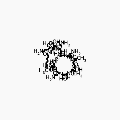 CCCCCCCC(=O)N[C@@H](CCN)C(=O)N[C@H](C(=O)N[C@H](CCN)C(=O)N[C@H]1CCNC(=O)[C@H]([C@@H](C)O)NC(=O)[C@H](CCN)NC(=O)[C@H](CO)NC(=O)[C@H]([C@@H](C)O)NC(=O)[C@@H](CC(C)C)NC(=O)[C@H](CCN)NC1=O)[C@@H](C)O